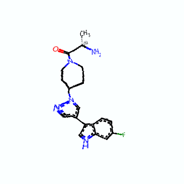 C[C@H](N)C(=O)N1CCC(n2cc(-c3c[nH]c4cc(F)ccc34)cn2)CC1